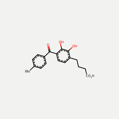 CC(C)(C)c1ccc(C(=O)c2ccc(CCCC(=O)O)c(O)c2O)cc1